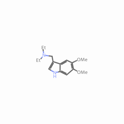 CCN(CC)Cc1c[nH]c2cc(OC)c(OC)cc12